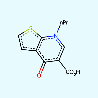 CCCn1cc(C(=O)O)c(=O)c2ccsc21